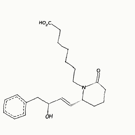 O=C(O)CCCCCCN1C(=O)CCC[C@@H]1C=CC(O)Cc1ccccc1